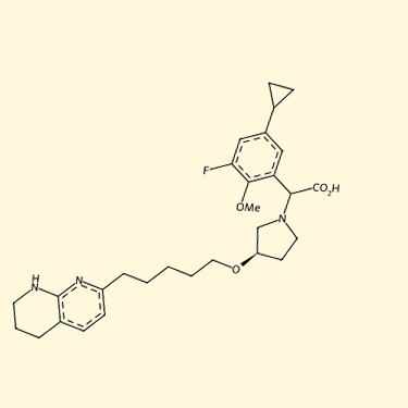 COc1c(F)cc(C2CC2)cc1C(C(=O)O)N1CC[C@@H](OCCCCCc2ccc3c(n2)NCCC3)C1